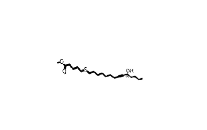 CCCC[C@@H](O)C#CCCCCCCCSCCCCC(=O)OC